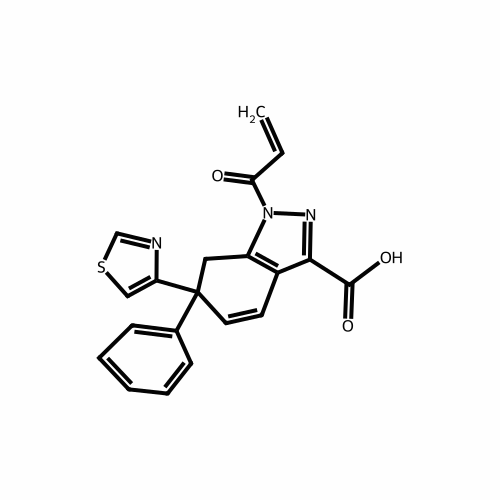 C=CC(=O)n1nc(C(=O)O)c2c1CC(c1ccccc1)(c1cscn1)C=C2